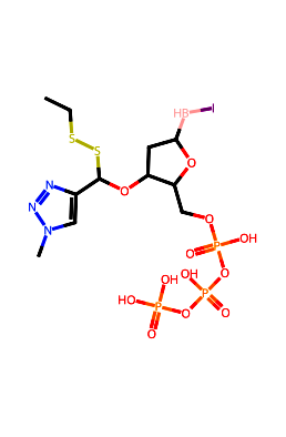 CCSSC(OC1CC(BI)OC1COP(=O)(O)OP(=O)(O)OP(=O)(O)O)c1cn(C)nn1